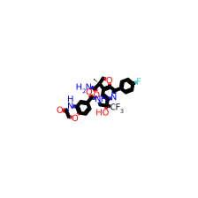 C[C@]1(C(N)=O)COc2c1cc(C(O)(CNC(=O)c1ccc3c(c1)NC(=O)CO3)C(F)(F)F)nc2-c1ccc(F)cc1